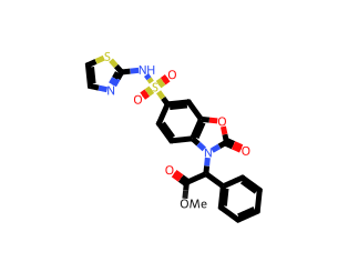 COC(=O)C(c1ccccc1)n1c(=O)oc2cc(S(=O)(=O)Nc3nccs3)ccc21